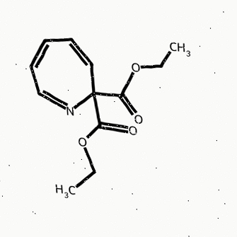 CCOC(=O)C1(C(=O)OCC)C=CC=CC=N1